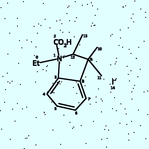 CC[N+]1(C(=O)O)c2ccccc2C(C)(C)C1C.[I-]